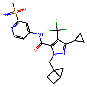 CS(=N)(=O)c1cc(NC(=O)c2c(C(F)(F)F)c(C3CC3)nn2CC23CCC2C3)ccn1